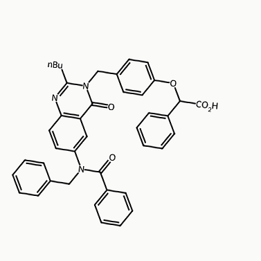 CCCCc1nc2ccc(N(Cc3ccccc3)C(=O)c3ccccc3)cc2c(=O)n1Cc1ccc(OC(C(=O)O)c2ccccc2)cc1